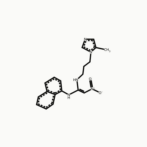 Cc1cncn1CCCNC(=C[N+](=O)[O-])Nc1cccc2ccccc12